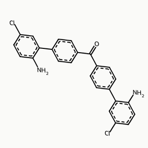 Nc1ccc(Cl)cc1-c1ccc(C(=O)c2ccc(-c3cc(Cl)ccc3N)cc2)cc1